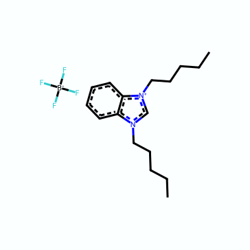 CCCCCn1c[n+](CCCCC)c2ccccc21.F[B-](F)(F)F